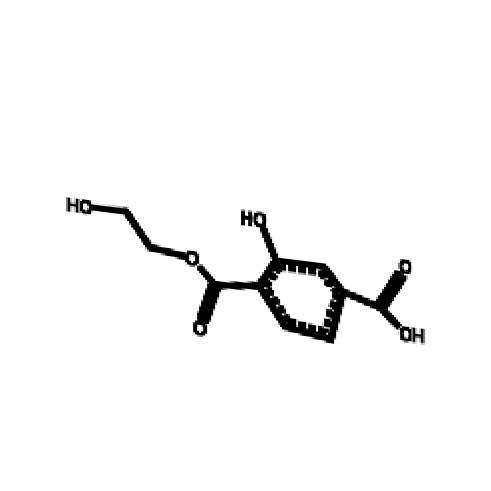 O=C(O)c1ccc(C(=O)OCCO)c(O)c1